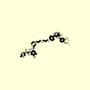 Cc1cnc(NC(=O)Nc2cc(Br)c(C)cc2OC[C@@H]2CN(CCCOCCCOc3ccc(C4=NNC(C)(C(=O)Nc5ccc([N+](=O)[O-])c(C(F)(F)F)c5)C4)cc3)CCO2)cn1